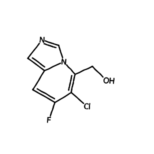 OCc1c(Cl)c(F)cc2cncn12